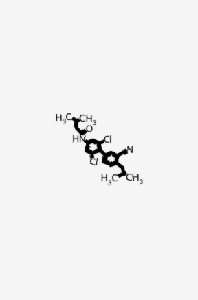 CC(C)CC(=O)Nc1cc(Cl)c(-c2ccc(CC(C)C)c(C#N)c2)c(Cl)c1